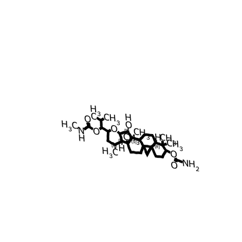 CNC(=O)OC(C(C)C)C1C[C@@H](C)[C@H]2C(O1)[C@H](O)[C@@]1(C)C3CC[C@H]4C(C)(C)C(OC(N)=O)CCC45CC35CCC21C